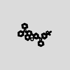 C[Si](C)(C)c1ccc(N(c2ccccc2)c2ccc3c(c2)Oc2cccc4c(N(c5ccccc5)c5ccccc5)ccc-3c24)cc1